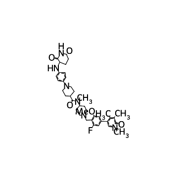 COc1cc(-c2cn(C)c(=O)c(C)c2C)cc(F)c1CN1CCC(N(C)C(=O)C2CCN(c3ccc(NC4CCC(=O)NC4=O)cc3)CC2)CC1